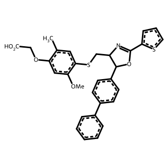 COc1cc(OCC(=O)O)c(C)cc1SCC1N=C(c2cccs2)OC1c1ccc(-c2ccccc2)cc1